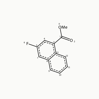 COC(=O)c1cc(F)cc2ccccc12